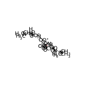 CC(=O)N(C)S(=O)(=O)c1ccccc1-c1c2ccc(N3CCc4cc(S(=O)(=O)NCCC[N+](C)(C)C)ccc43)cc2[o+]c2cc(N3CCc4cc(S(=O)(=O)NCCC[N+](C)(C)C)ccc43)ccc12